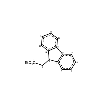 CCOC(=O)CC1c2ccccc2-c2ccccc21